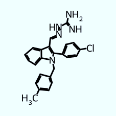 Cc1ccc(Cn2c(-c3ccc(Cl)cc3)c(/C=N/NC(=N)N)c3ccccc32)cc1